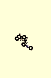 CC1=CC2C=CC=CC2c2oc3c(c21)C=CC(C)C3C(C)(C)N(C)c1ccccc1/C=C/C1=CC=CCC1